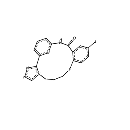 O=C1Nc2cccc(n2)-c2nncn2CCCSc2ccc(I)cc21